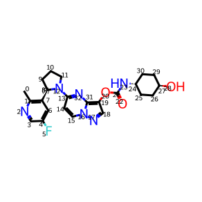 Cc1ncc(F)cc1[C@H]1CCCN1c1ccn2ncc(OC(=O)N[C@H]3CC[C@H](O)CC3)c2n1